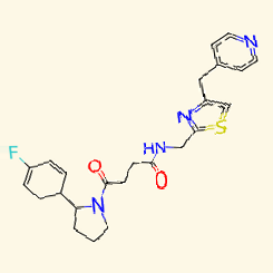 O=C(CCC(=O)N1CCCC1C1C=CC(F)=CC1)NCc1nc(Cc2ccncc2)cs1